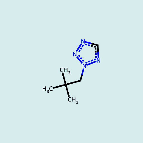 CC(C)(C)Cn1ncnn1